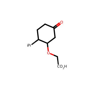 CC(C)C1CCC(=O)CC1OCC(=O)O